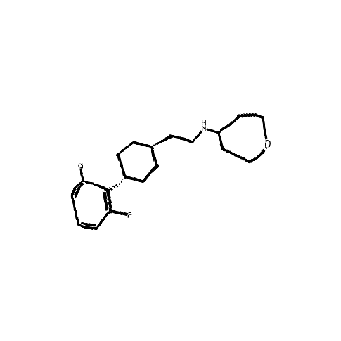 Fc1cccc(Cl)c1[C@H]1CC[C@H](CCNC2CCOCC2)CC1